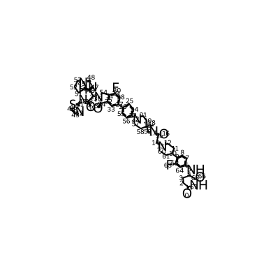 O=C1CCC(Nc2ccc(C3CCN(CC(=O)N4CC5(CCN(c6ccc(-c7cc(F)c8c(c7)C(=O)N(C(C(=O)Nc7nccs7)c7ncn9c7CCC9)C8)cc6)CC5)C4)CC3)c(F)c2)C(=O)N1